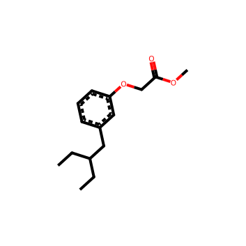 CCC(CC)Cc1cccc(OCC(=O)OC)c1